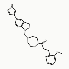 COc1ccccc1CCC(=O)N1CCCC(CN2CCc3cc(-c4cn[nH]c4)ccc32)CC1